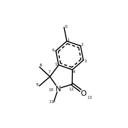 Cc1ccc2c(c1)C(C)(C)N(C)C2=O